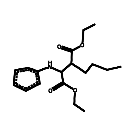 CCCCC(C(=O)OCC)C(Nc1ccccc1)C(=O)OCC